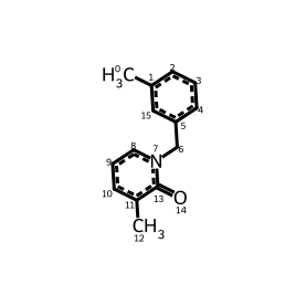 Cc1cccc(Cn2cccc(C)c2=O)c1